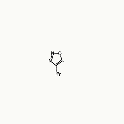 CC(C)c1[c]onn1